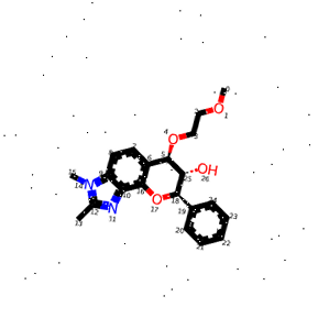 COCCO[C@@H]1c2ccc3c(nc(C)n3C)c2O[C@H](c2ccccc2)[C@H]1O